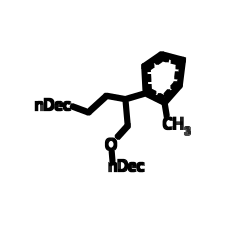 CCCCCCCCCCCCC(COCCCCCCCCCC)c1ccccc1C